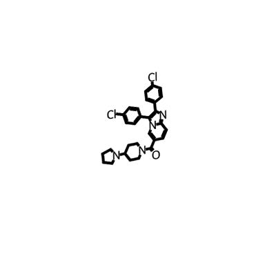 O=C(c1ccc2nc(-c3ccc(Cl)cc3)c(-c3ccc(Cl)cc3)n2c1)N1CCC(N2CCCC2)CC1